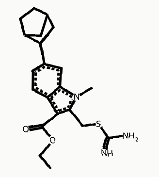 CCOC(=O)c1c(CSC(=N)N)n(C)c2cc(C3CC4CCC3C4)ccc12